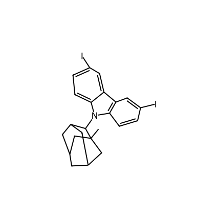 CC12CC3CC(CC(C3)C1n1c3ccc(I)cc3c3cc(I)ccc31)C2